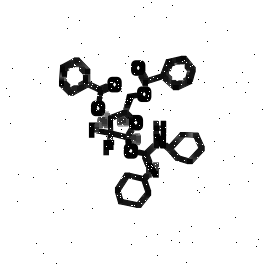 O=C(OC[C@H]1O[C@@H](OC(=NC2CCCCC2)NC2CCCCC2)C(F)(F)[C@@H]1OC(=O)c1ccccc1)c1ccccc1